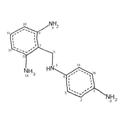 Nc1ccc(NCc2c(N)cccc2N)cc1